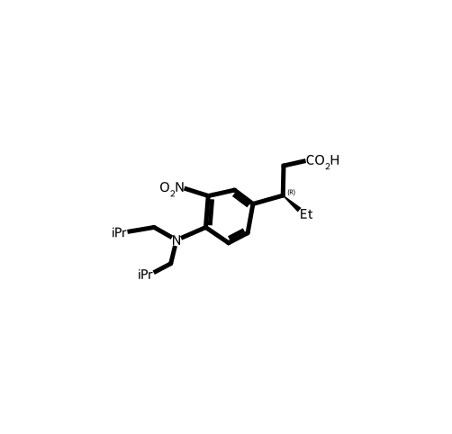 CC[C@H](CC(=O)O)c1ccc(N(CC(C)C)CC(C)C)c([N+](=O)[O-])c1